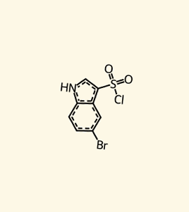 O=S(=O)(Cl)c1c[nH]c2ccc(Br)cc12